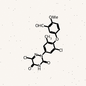 COc1ccc(Oc2c(C)cc(-n3nc(Cl)c(=O)[nH]c3=O)cc2Cl)cc1C=O